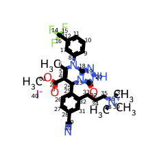 COC(=O)C1=C(C)N(c2cccc(C(F)(F)F)c2)c2n[nH]c(=O)n2C1c1ccc(C#N)cc1CCC[N+](C)(C)C.[I-]